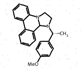 COc1ccc([C@@H](C)N2CCN3c4ccccc4-c4ccccc4C32)cc1